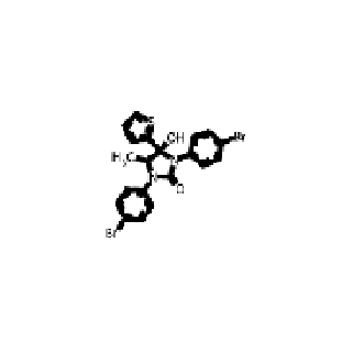 CC1N(c2ccc(Br)cc2)C(=O)N(c2ccc(Br)cc2)C1(O)c1cccs1